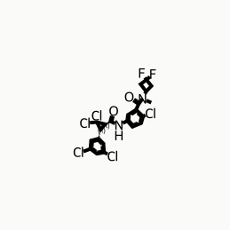 CN(C(=O)c1cc(NC(=O)[C@H]2[C@H](c3cc(Cl)cc(Cl)c3)C2(Cl)Cl)ccc1Cl)C1CC(F)(F)C1